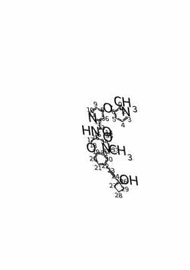 Cc1ncccc1Oc1ccnc(C(=O)NC2COc3ccc(C#CC4(O)CCC4)cc3N(C)C2=O)c1